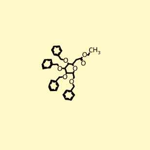 CCOC(=O)CC1OC(COCc2ccccc2)C(OCc2ccccc2)C(OCc2ccccc2)C1OCc1ccccc1